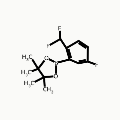 CC1(C)OB(c2cc(F)ccc2C(F)F)OC1(C)C